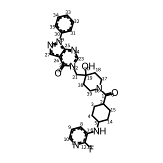 O=C(C1CCC(Nc2cccnc2F)CC1)N1CCC(O)(Cn2cnc3c(cnn3-c3ccccc3)c2=O)CC1